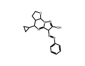 OC1=NN2C(=NC(C3CC3)C3CCOC32)C1N=Nc1ccccc1